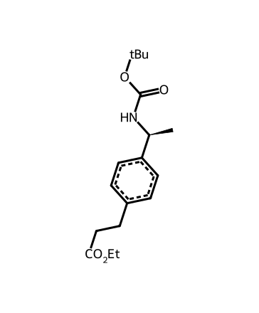 CCOC(=O)CCc1ccc([C@H](C)NC(=O)OC(C)(C)C)cc1